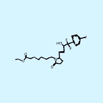 CCOC(=O)CCCCCCN1C(=O)CCC1C=CC(O)C(F)(F)c1ccc(I)cc1